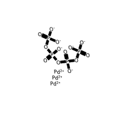 O=P([O-])([O-])OP(=O)([O-])OP(=O)([O-])OP(=O)([O-])[O-].[Pd+2].[Pd+2].[Pd+2]